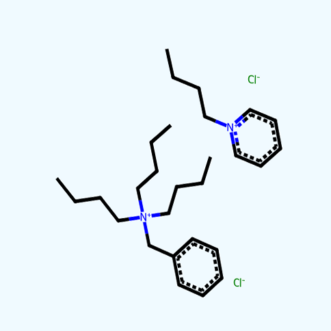 CCCC[N+](CCCC)(CCCC)Cc1ccccc1.CCCC[n+]1ccccc1.[Cl-].[Cl-]